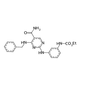 CCOC(=O)Nc1cccc(Nc2ncc(C(N)=O)c(NCc3ccccc3)n2)c1